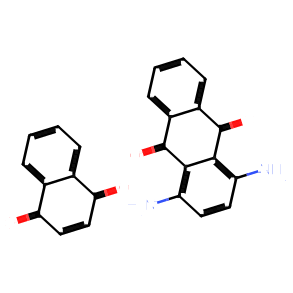 Nc1ccc(N)c2c1C(=O)c1ccccc1C2=O.O=C1C=CC(=O)c2ccccc21